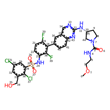 COCCNC(=O)N1CC[C@@H](Nc2ncc3cc(-c4c(F)ccc(NS(=O)(=O)c5cc(Cl)cc(CO)c5Cl)c4F)ccc3n2)C1